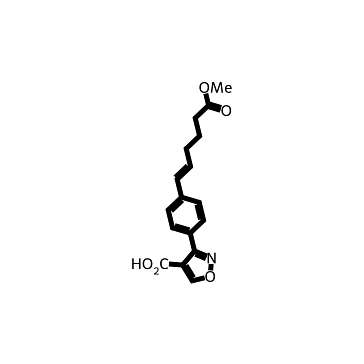 COC(=O)CCCC=Cc1ccc(-c2nocc2C(=O)O)cc1